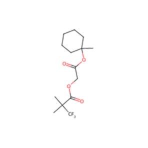 CC1(OC(=O)COC(=O)C(C)(C)C(F)(F)F)CCCCC1